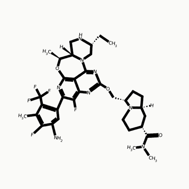 CC[C@@H]1CN2c3nc(OC[C@@H]4CC[C@H]5C[C@H](C(=O)N(C)C)CCN45)nc4c(F)c(-c5cc(N)c(F)c(C)c5C(F)(F)F)nc(c34)O[C@@H](C)[C@@H]2CN1